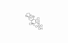 C.O=S(=O)(O)Nc1ccc(CC2=NCCN2)c(Br)c1Cl